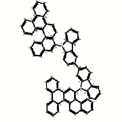 c1ccc2c(c1)ccc1c2c(-n2c3ccccc3c3ccc(-c4ccc5c(c4)c4ccccc4n5-c4cc5ccccc5c5c4ccc4c6ccccc6c6ccccc6c45)cc32)cc2c3ccccc3c3ccccc3c21